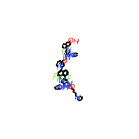 Oc1ccc2c(-c3ncc4c(N5CC6CCC(C5)N6)nc(OCC56CCCCN5C(c5cc(F)c(F)c7c(-c8ncc9c(N%10CC%11CCC(C%10)N%11)nc(OCCCCCN%10CCCCC%10)nc9c8F)cccc57)CC6)nc4c3F)cccc2c1